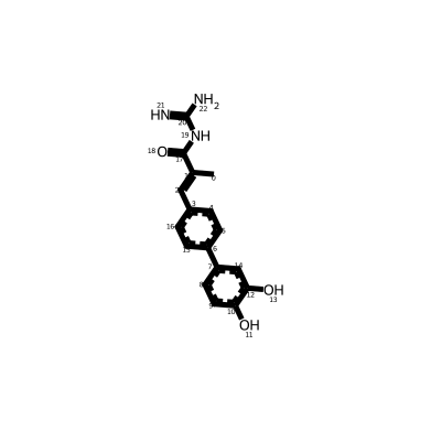 C/C(=C\c1ccc(-c2ccc(O)c(O)c2)cc1)C(=O)NC(=N)N